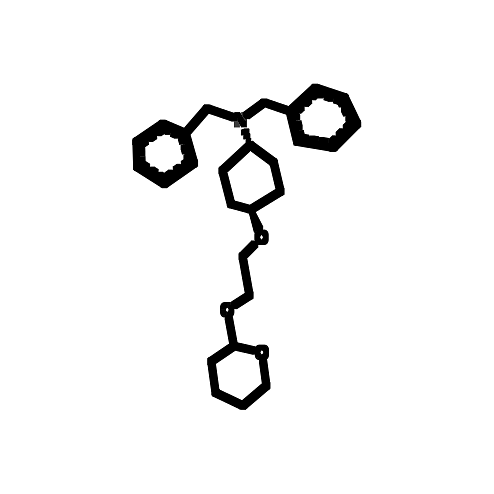 c1ccc(CN(Cc2ccccc2)[C@H]2CC[C@H](OCCOC3CCCCO3)CC2)cc1